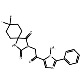 Cn1c(C(=O)CN2C(=O)NC3(CCC(F)(F)CC3)C2=O)cnc1-c1ccccc1